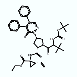 C=C[C@@H]1C[C@]1(NC(=O)[C@@H]1C[C@@H](n2ncc(-c3ccccc3)c(-c3ccccc3)c2=O)CN1C(=O)[C@@H](NC(=O)OC(C)(C)C)C(C)(C)C)C(=O)OCC